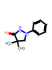 CC1(C=O)CN(c2ccccc2)NC1=O